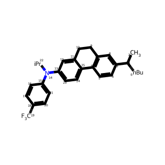 CCCCC(C)c1ccc2c(c1)CCc1cc(N(c3ccc(C(F)(F)F)cc3)C(C)C)ccc1-2